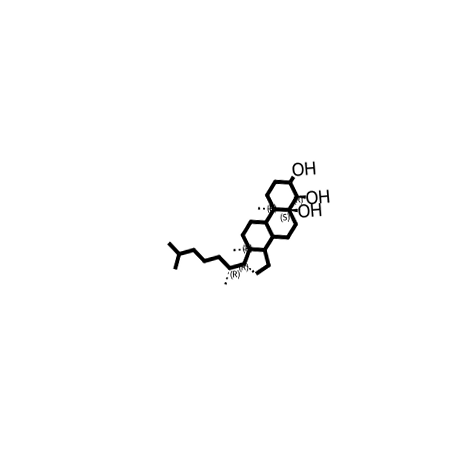 CC(C)CCC[C@@H](C)[C@H]1CCC2C3CC[C@@]4(O)[C@H](O)C(O)CC[C@]4(C)C3CC[C@@]21C